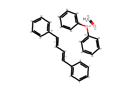 C(/C=C/c1ccccc1)=C\c1ccccc1.C=O.c1ccc(Oc2ccccc2)cc1